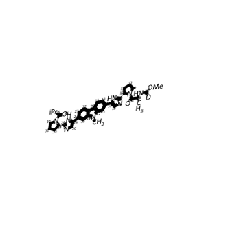 COC(=O)N[C@@H](C)C(=O)N1CCC[C@H]1c1ncc(-c2ccc3c4ccc(-c5cnc([C@@H]6CCCN6C(=O)C(C)C)[nH]5)cc4n(C)c3c2)[nH]1